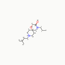 CCCN1CC2(CCN(CCC(C)C)CC2)OCC1=O